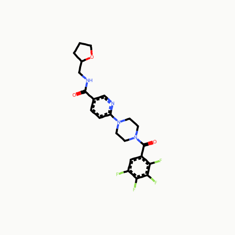 O=C(NCC1CCCO1)c1ccc(N2CCN(C(=O)c3cc(F)c(F)c(F)c3F)CC2)nc1